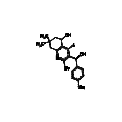 CC(C)c1nc2c(c(I)c1[C@@H](O)c1ccc(C(C)(C)C)cc1)C(O)CC(C)(C)C2